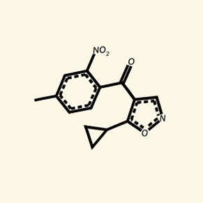 Cc1ccc(C(=O)c2cnoc2C2CC2)c([N+](=O)[O-])c1